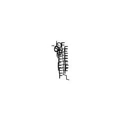 CCCC(F)C(F)(F)C(F)(F)C(F)(F)C(F)(F)C(F)(F)C(F)(F)C(F)(F)C(F)(F)[Si](OCC)(OCC)OCC